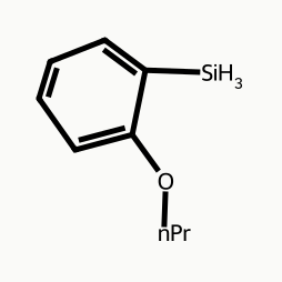 CCCOc1ccccc1[SiH3]